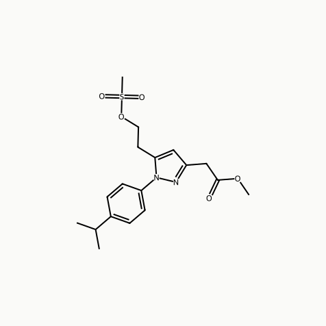 COC(=O)Cc1cc(CCOS(C)(=O)=O)n(-c2ccc(C(C)C)cc2)n1